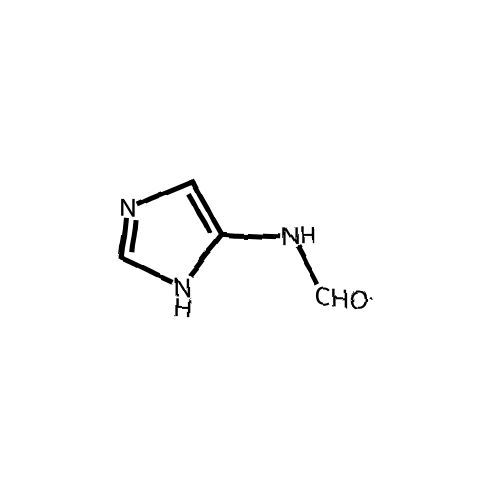 O=[C]Nc1cnc[nH]1